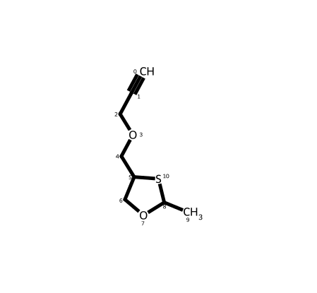 C#CCOCC1COC(C)S1